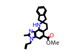 C=CCn1c(C)nc2c3c(c(C(=O)OC)cc21)CCC1(Cc2ccccc2C1)N3